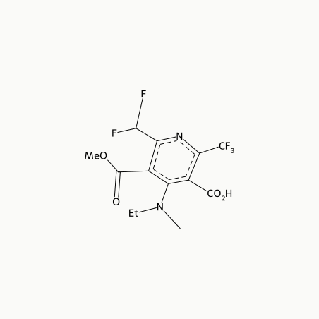 CCN(C)c1c(C(=O)OC)c(C(F)F)nc(C(F)(F)F)c1C(=O)O